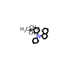 CC(C)(C)c1cccc(N(c2ccccc2)c2cccc3ccccc23)c1